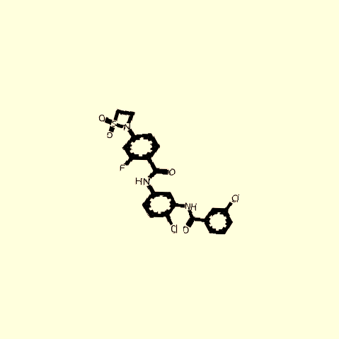 O=C(Nc1cc(NC(=O)c2ccc(N3CCS3(=O)=O)cc2F)ccc1Cl)c1cccc(Cl)c1